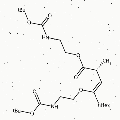 CCCCCCC(=C[C@@H](C)C(=O)OCCNC(=O)OC(C)(C)C)OCCNC(=O)OC(C)(C)C